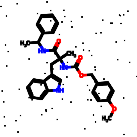 COc1ccc(COC(=O)NC(C)(Cc2c[nH]c3ccccc23)C(=O)NC(C)c2ccccc2)cc1